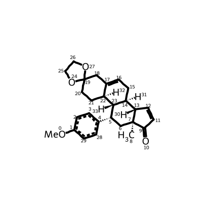 COc1ccc([C@H]2C[C@]3(C)C(=O)C=C[C@H]3[C@@H]3CC=C4CC5(CC[C@@H]4[C@H]32)OCCO5)cc1